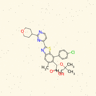 Cc1cc2nc(-c3ccnc(C4CCOCC4)n3)sc2c(-c2ccc(Cl)cc2)c1[C@H](OC(C)(C)C)C(=O)O